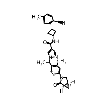 Cc1ccc(C#N)c([C@H]2C[C@@H](NC(=O)c3cnn(C(C)c4cnc(N5C[C@H]6C[C@H]6C5=O)cc4C)c3)C2)c1